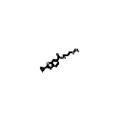 COCCCNC(=O)c1ccc2nc(C3CC3)oc2c1